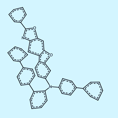 c1ccc(-c2ccc(-c3ccccc3N(c3ccc(-c4ccccc4)cc3)c3ccc4c(c3)oc3cc5oc(-c6ccccc6)nc5cc34)cc2)cc1